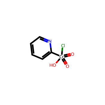 [O]=[Cr](=[O])([OH])([Cl])[c]1ccccn1